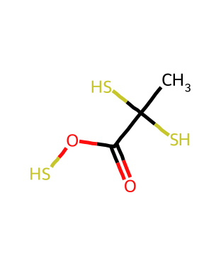 CC(S)(S)C(=O)OS